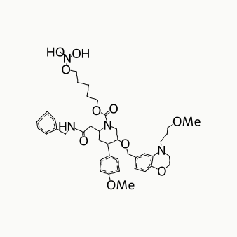 COCCCN1CCOc2ccc(COC3CN(C(=O)OCCCCCON(O)O)C(CC(=O)NCc4ccccc4)CC3c3ccc(OC)cc3)cc21